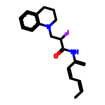 C=C(/C=C\C=C/C)NC(=O)[C@H](I)CN1CCCc2ccccc21